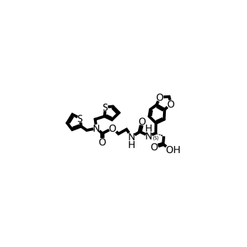 O=C(O)C[C@H](NC(=O)NCCOC(=O)N(Cc1cccs1)Cc1cccs1)c1ccc2c(c1)OCO2